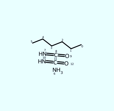 CCCCCC.N.N=C=O.N=C=O